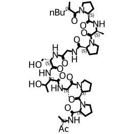 CCCC[C@H](C)C(=O)N1CCC[C@H]1C(=O)N[C@@H](C)C(=O)N1CCC[C@H]1C(=O)NCC(=O)N[C@@H](CO)C(=O)N[C@H](C(=O)N[C@@H](C)C(=O)N1CCC[C@H]1C(=O)N1CCC[C@H]1C(=O)N[C@@H](C)C(C)=O)C(C)O